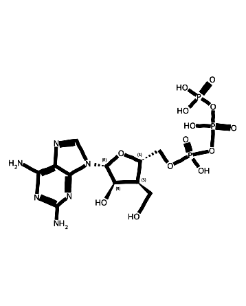 Nc1nc(N)c2ncn([C@@H]3O[C@H](COP(=O)(O)OP(=O)(O)OP(=O)(O)O)[C@@H](CO)[C@H]3O)c2n1